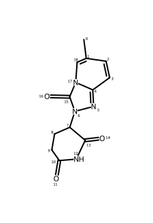 Cc1ccc2nn(C3CCC(=O)NC3=O)c(=O)n2c1